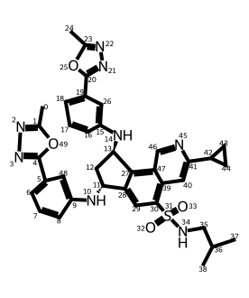 Cc1nnc(-c2cccc(N[C@@H]3C[C@@H](Nc4cccc(-c5nnc(C)o5)c4)c4c3cc(S(=O)(=O)NCC(C)C)c3cc(C5CC5)ncc43)c2)o1